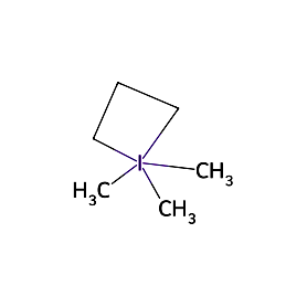 CI1(C)(C)CCC1